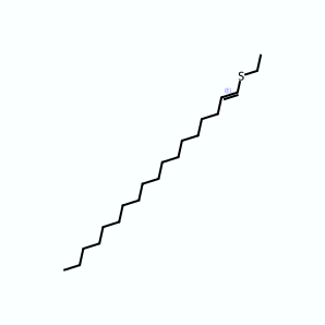 CCCCCCCCCCCCCCCC/C=C/SCC